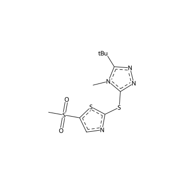 Cn1c(Sc2ncc(S(C)(=O)=O)s2)nnc1C(C)(C)C